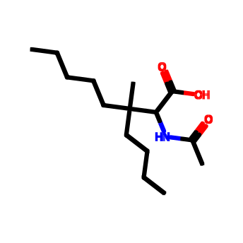 CCCCCC(C)(CCCC)C(NC(C)=O)C(=O)O